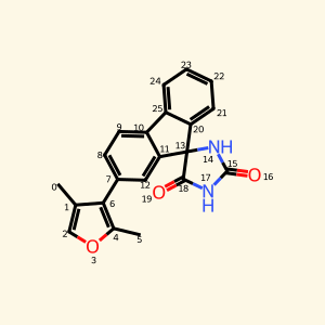 Cc1coc(C)c1-c1ccc2c(c1)C1(NC(=O)NC1=O)c1ccccc1-2